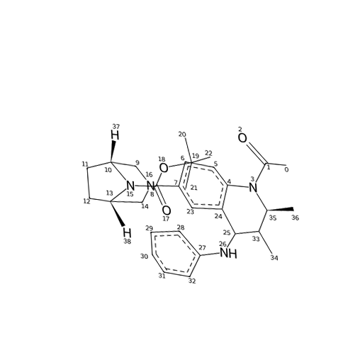 CC(=O)N1c2ccc(N3C[C@H]4CC[C@@H](C3)N4C(=O)OC(C)(C)C)cc2C(Nc2ccccc2)C(C)[C@@H]1C